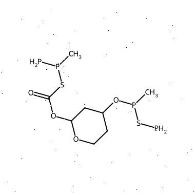 CP(P)SC(=O)OC1CC(OP(C)SP)CCO1